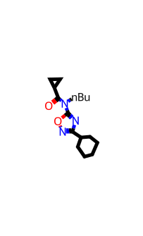 CCCCN(C(=O)C1CC1)c1nc(C2CCCCC2)no1